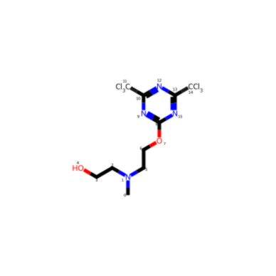 CN(CCO)CCOc1nc(C(Cl)(Cl)Cl)nc(C(Cl)(Cl)Cl)n1